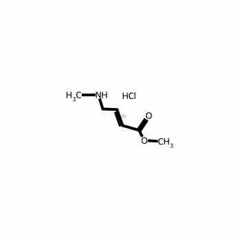 CNC/C=C/C(=O)OC.Cl